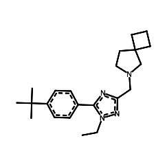 CCn1nc(CN2CCC3(CCC3)C2)nc1-c1ccc(C(C)(C)C)cc1